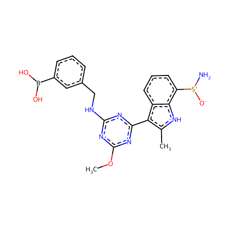 COc1nc(NCc2cccc(B(O)O)c2)nc(-c2c(C)[nH]c3c([S+](N)[O-])cccc23)n1